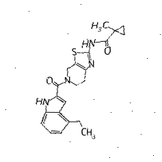 CCc1cccc2[nH]c(C(=O)N3CCc4nc(NC(=O)C5(C)CC5)sc4C3)cc12